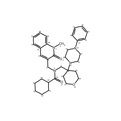 Cn1c(=O)c(CN(CC2(N3CCN(c4ccccc4)CC3)CCOCC2)C(=O)C2CCCCC2)cc2ccccc21